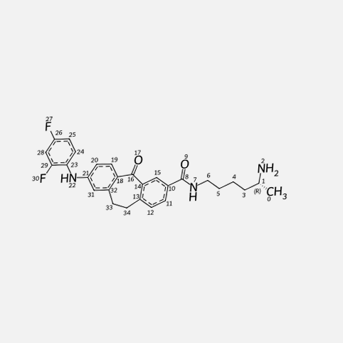 C[C@@H](N)CCCCNC(=O)c1ccc2c(c1)C(=O)c1ccc(Nc3ccc(F)cc3F)cc1CC2